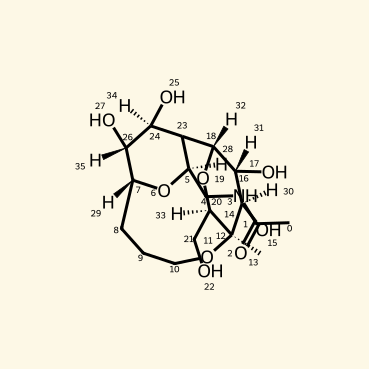 CC(=O)NC[C@H]1O[C@@H]2CCCO[C@]3(C)[C@H](O)[C@@H](O)[C@H](O[C@@H]3CO)C1[C@H](O)[C@H]2O